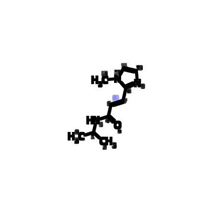 CC(C)NC(=O)/C=C/c1nccn1C